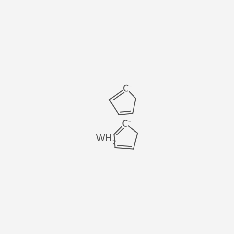 [C-]1=CC=CC1.[C-]1=CC=CC1.[WH2]